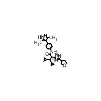 Cc1n[nH]c(C)c1-c1ccc(NC(=O)C(c2nnc(C3CCOC3)[nH]2)C(C2CC2)C2CC2)cc1